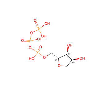 O=P(O)(O)OP(=O)(O)OP(=O)(O)OC[C@H]1OC[C@H](O)[C@@H]1O